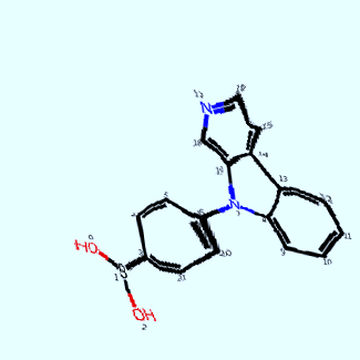 OB(O)c1ccc(-n2c3ccccc3c3ccncc32)cc1